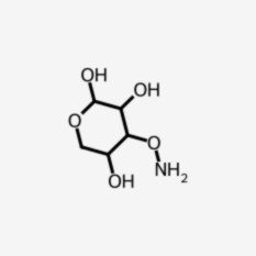 NOC1C(O)COC(O)C1O